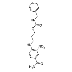 NC(=O)c1ccc(NCCCOC(=O)NCc2ccccc2)c([N+](=O)[O-])c1